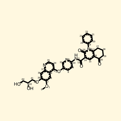 COc1cc2c(Oc3ccc(NC(=O)c4cc5c(n(-c6ccccc6)c4=O)CCCC5=O)nc3)ccnc2cc1OC[C@@H](O)CO